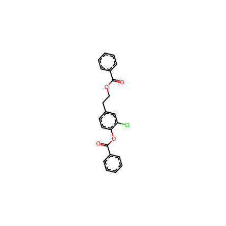 O=C(OCCc1ccc(OC(=O)c2ccccc2)c(Cl)c1)c1ccccc1